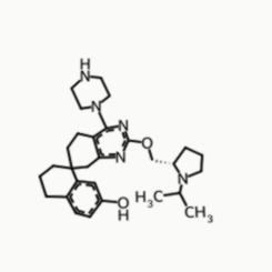 CC(C)N1CCC[C@H]1COc1nc2c(c(N3CCNCC3)n1)CCC1(CCCc3ccc(O)cc31)C2